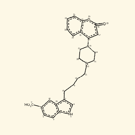 O=C(O)c1ccc2[nH]cc(CCCCN3CCN(c4cc(=O)oc5ccccc45)CC3)c2c1